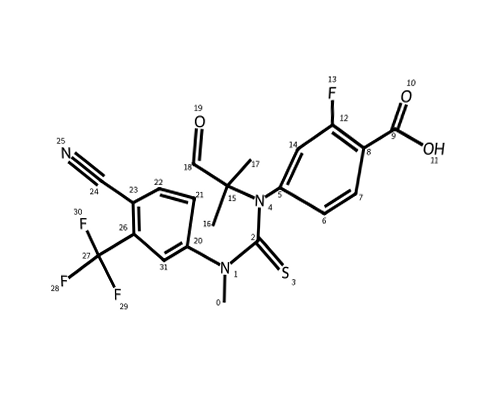 CN(C(=S)N(c1ccc(C(=O)O)c(F)c1)C(C)(C)C=O)c1ccc(C#N)c(C(F)(F)F)c1